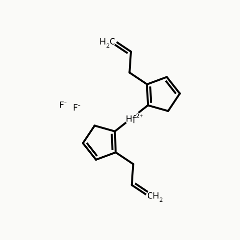 C=CCC1=[C]([Hf+2][C]2=C(CC=C)C=CC2)CC=C1.[F-].[F-]